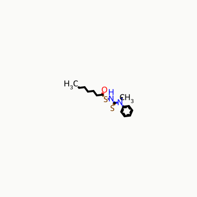 CCCCCCC(=O)SNC(=S)N(C)c1ccccc1